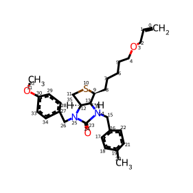 C=CCOCCCCC[C@@H]1SC[C@H]2[C@@H]1N(Cc1ccc(C)cc1)C(=O)N2Cc1ccc(OC)cc1